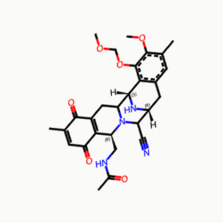 COCOc1c(OC)c(C)cc2c1[C@@H]1N[C@H](C2)C(C#N)N2C1CC1=C(C(=O)C=C(C)C1=O)[C@@H]2CNC(C)=O